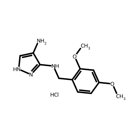 COc1ccc(CNc2n[nH]cc2N)c(OC)c1.Cl